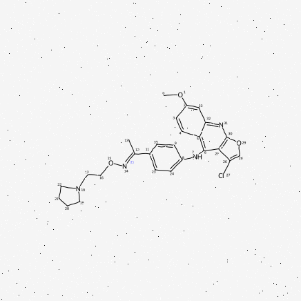 COc1ccc2c(Nc3ccc(/C(C)=N/OCCN4CCCC4)cc3)c3c(Cl)coc3nc2c1